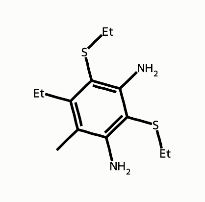 CCSc1c(N)c(C)c(CC)c(SCC)c1N